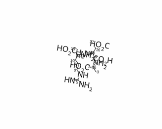 C[C@H](N)C(=O)O.N=C(N)NCCC[C@H](N)C(=O)O.N[C@@H](CC(=O)O)C(=O)O